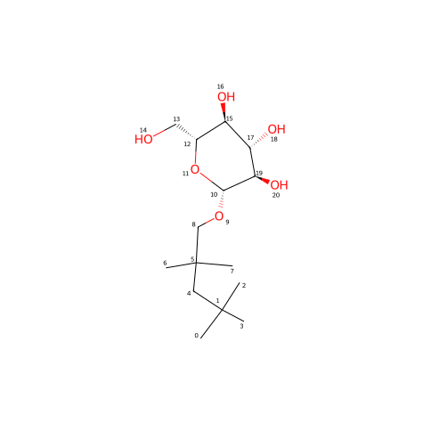 CC(C)(C)CC(C)(C)CO[C@@H]1O[C@H](CO)[C@@H](O)[C@H](O)[C@H]1O